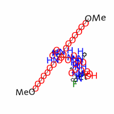 CC[C@@]1(O)C(=O)OCc2c1cc1n(c2=O)Cc2c-1nc1cc(F)c3c(c1c2CNC(=O)[C@H](OCNC(=O)CNC(=O)[C@H](Cc1ccccc1)NC(=O)CNC(=O)CNC(=O)CCCOc1c(C(=O)NCCOCCOCCOCCOCCOCCOCCOCCOC)cc(N2C(=O)C=CC2=O)cc1C(=O)NCCOCCOCCOCCOCCOCCOCCOCCOC)C1CC1)CCC3